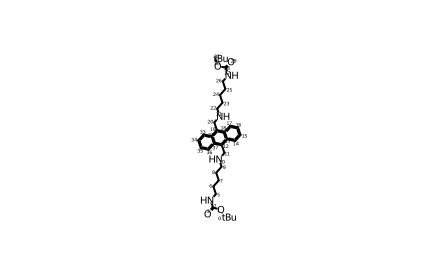 CC(C)(C)OC(=O)NCCCCCNCc1c2ccccc2c(CNCCCCCNC(=O)OC(C)(C)C)c2ccccc12